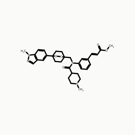 COC(=O)/C=C/c1cccc(N(CC23CCC(c4ccc5c(cnn5C)c4)(CC2)OC3)C(=O)C2CCN(C)CC2)c1